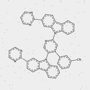 N#Cc1cccc(-c2cc(-n3c4ccccc4c4ccc(-c5ncccn5)cc43)ncc2-n2c3ccccc3c3ccc(-c4ncccn4)cc32)c1